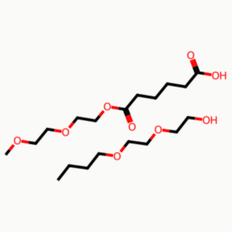 CCCCOCCOCCO.COCCOCCOC(=O)CCCCC(=O)O